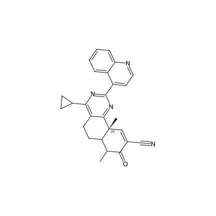 CC1C(=O)C(C#N)=C[C@@]2(C)c3nc(-c4ccnc5ccccc45)nc(C4CC4)c3CCC12